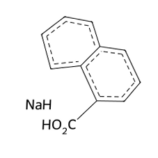 O=C(O)c1cccc2ccccc12.[NaH]